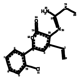 C=Cc1cc(-c2ccccc2Cl)oc(=O)c1/N=C(\N)SC